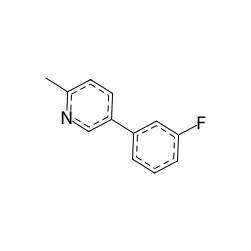 Cc1ccc(-c2cccc(F)c2)cn1